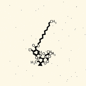 CCCCCCCCCCCCOC(=O)c1cc(NC(=O)C(C(=O)C2(CC)CC2)N2C(=O)OC(C)(C)C2=O)c(Cl)cc1Cl